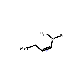 CCN(C)/C=C\CNC